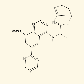 COc1cc(-c2ncc(C)cn2)cc2c(NC(C)/C3=N/C(C)=C/CCCO3)ncnc12